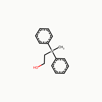 C[Si](CCO)(c1ccccc1)c1ccccc1